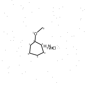 COC1CCCCC1.Cl.N